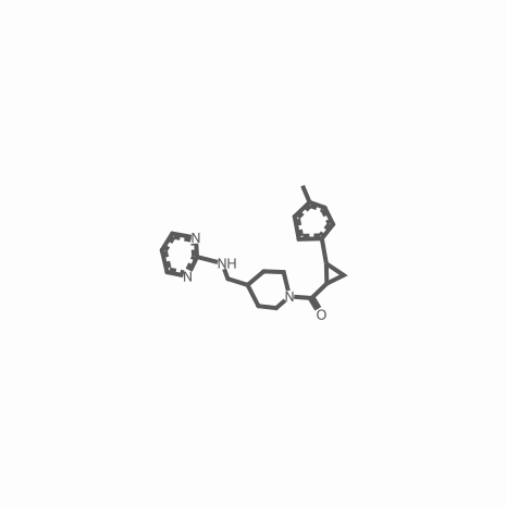 Cc1ccc(C2CC2C(=O)N2CCC(CNc3ncccn3)CC2)cc1